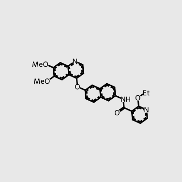 CCOc1ncccc1C(=O)Nc1ccc2cc(Oc3ccnc4cc(OC)c(OC)cc34)ccc2c1